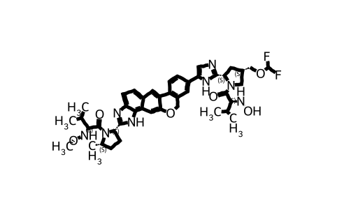 CON[C@H](C(=O)N1[C@@H](C)CC[C@H]1c1nc2ccc3cc4c(cc3c2[nH]1)OCc1cc(-c2cnc([C@@H]3C[C@H](COC(F)F)CN3C(=O)[C@@H](NO)C(C)C)[nH]2)ccc1-4)C(C)C